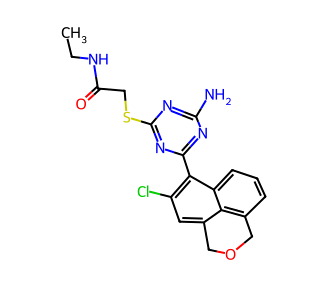 CCNC(=O)CSc1nc(N)nc(-c2c(Cl)cc3c4c(cccc24)COC3)n1